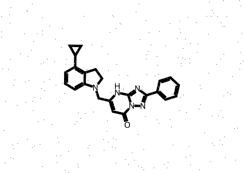 O=c1cc(CN2CCc3c(C4CC4)cccc32)[nH]c2nc(-c3ccccc3)nn12